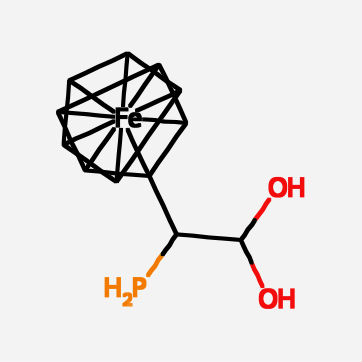 OC(O)C(P)[C]12[CH]3[CH]4[CH]5[CH]1[Fe]45321678[CH]2[CH]1[CH]6[CH]7[CH]28